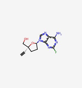 C#C[C@@]1(CO)CC[C@H](n2cnc3c(N)nc(F)nc32)O1